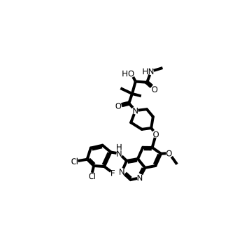 CNC(=O)C(O)C(C)(C)C(=O)N1CCC(Oc2cc3c(Nc4ccc(Cl)c(Cl)c4F)ncnc3cc2OC)CC1